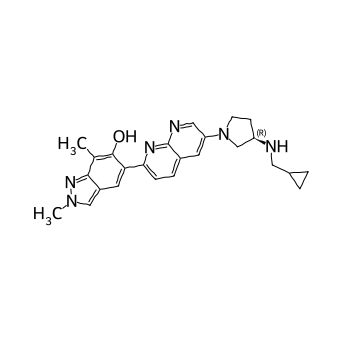 Cc1c(O)c(-c2ccc3cc(N4CC[C@@H](NCC5CC5)C4)cnc3n2)cc2cn(C)nc12